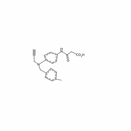 C#CCN(Cc1ccc(C)cc1)c1ccc(NC(=O)CC(=O)O)cc1